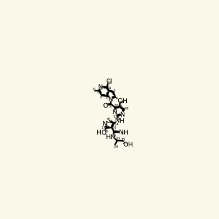 Cc1cc2c(ccn2C(=O)c2nc(Nc3snc(O)c3C(=N)NC(C)CO)ncc2O)c(Cl)n1